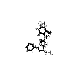 BC1CC(c2ccccc2)n2nc(-n3nnc4cc(C)ccc43)nc21